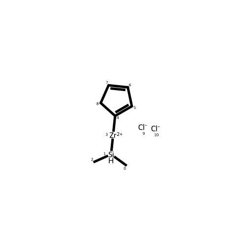 C[SiH](C)[Zr+2][C]1=CC=CC1.[Cl-].[Cl-]